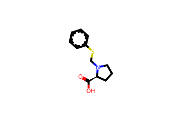 O=C(O)[C@@H]1CCCN1CSc1ccccc1